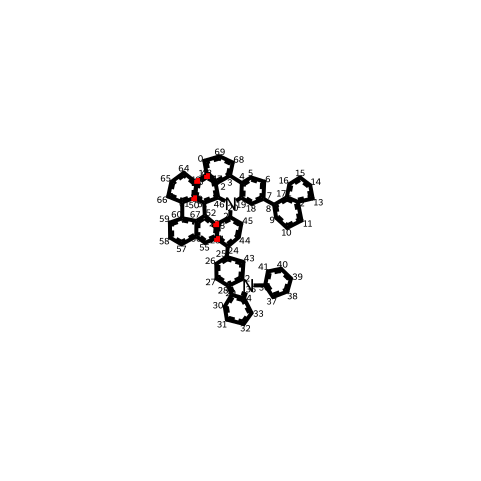 c1ccc(-c2ccc(-c3cccc4ccccc34)cc2N(c2ccc(-c3ccc4c5ccccc5n(-c5ccccc5)c4c3)cc2)c2ccccc2-c2cccc3cccc(-c4ccccc4)c23)cc1